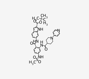 CC(C)(C)OC(=O)c1cc2ccc(NC(=O)c3ccc(NS(C)(=O)=O)cc3NC(=O)C3CCN(c4ccncc4)CC3)cc2[nH]1